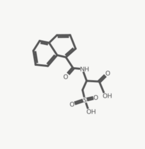 O=C(NC(CS(=O)(=O)O)C(=O)O)c1cccc2ccccc12